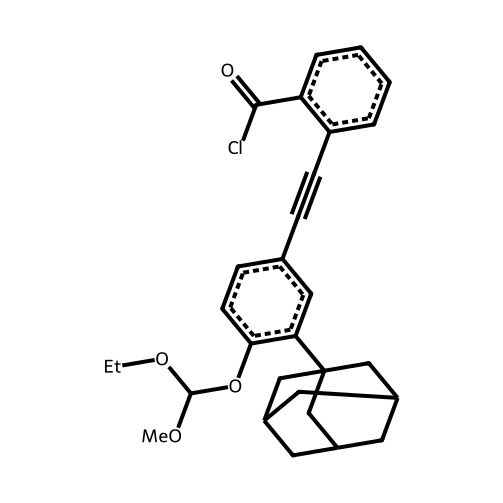 CCOC(OC)Oc1ccc(C#Cc2ccccc2C(=O)Cl)cc1C12CC3CC(CC(C3)C1)C2